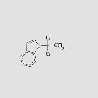 ClC(Cl)(Cl)C(Cl)(Cl)[C]1C=Cc2ccccc21